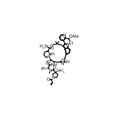 C=CC(=O)N1CCC([SiH3])(C(=O)N(C)[C@H](C(=O)N[C@H]2CC3=NNC(O3)c3ccc4c(c3)c(c(-c3cccnc3[C@H](C)OC)n4CC)CC(C)(C)COC[C@]3(C(=O)[SiH3])CCCN(N3)C2=O)C(C)C)C1